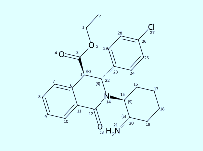 CCOC(=O)[C@@H]1c2ccccc2C(=O)N([C@H]2CCCC[C@@H]2N)[C@H]1c1ccc(Cl)cc1